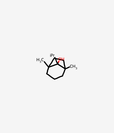 CC(C)C1(O)C2(C)CCCC1(C)CC2